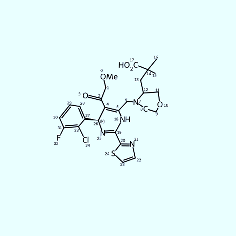 COCC(=O)C1=C(CN2CCOCC2CC(C)(C)C(=O)O)NC(c2nccs2)=N[C@H]1c1cccc(F)c1Cl